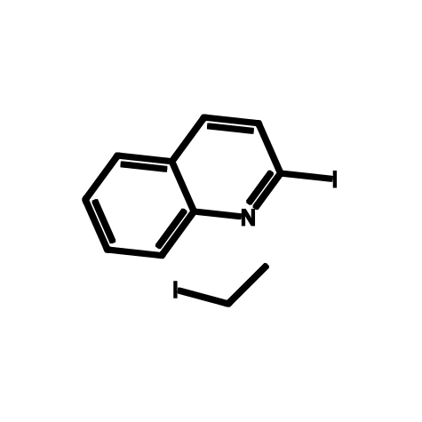 CCI.Ic1ccc2ccccc2n1